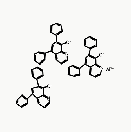 [Al+3].[O-]c1c(-c2ccccc2)cc(-c2ccccc2)c2cccnc12.[O-]c1c(-c2ccccc2)cc(-c2ccccc2)c2cccnc12.[O-]c1c(-c2ccccc2)cc(-c2ccccc2)c2cccnc12